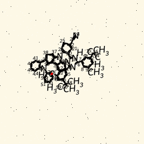 Cc1cc(-c2nc(-c3cc(C)cc(C(C)(C)C)c3)nc(-c3cc(C#N)ccc3-n3c4ccccc4c4c3ccc3c5ccccc5n(-c5ccccc5)c34)n2)cc(C(C)(C)C)c1